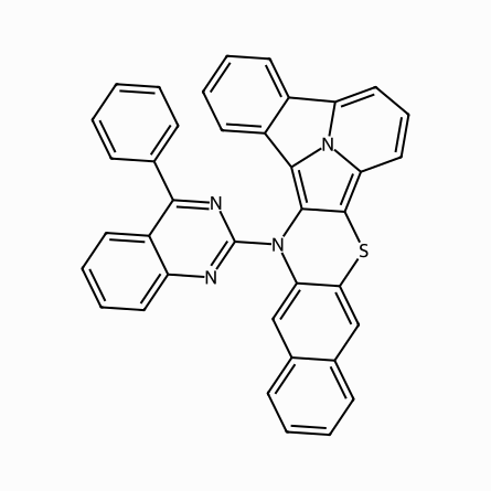 c1ccc(-c2nc(N3c4cc5ccccc5cc4Sc4c3c3c5ccccc5c5cccc4n53)nc3ccccc23)cc1